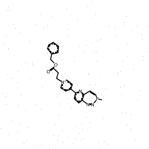 CP1C=Cc2nc(-c3cc[n+](CCC(=O)OCc4ccccc4)cc3)ccc2N=N1